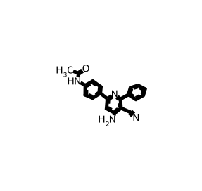 CC(=O)Nc1ccc(-c2cc(N)c(C#N)c(-c3ccccc3)n2)cc1